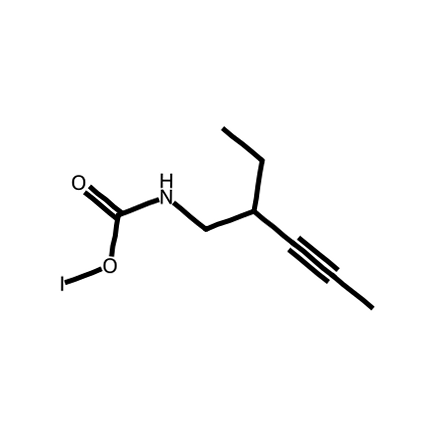 CC#CC(CC)CNC(=O)OI